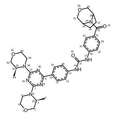 C[C@H]1COCCN1c1nc(-c2ccc(NC(=O)Nc3ccc(C(=O)N4C5CCC4COC5)cc3)cc2)nc(N2CCOC[C@@H]2C)n1